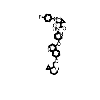 O=C(Nc1ccc(F)cc1)C1(C(=O)Nc2ccc(Oc3ccnc4cc(OCC5OCCCC56CC6)ccc34)cn2)CC1